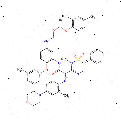 CCC(OCNc1ccc(Oc2cccc(C)c2)c(NC(=O)/C(=N\c2ccc(N3CCOCC3)cc2C)C2=NC=C(c3ccccc3)S(=O)(=O)N2C)c1)Oc1ccc(C)cc1C